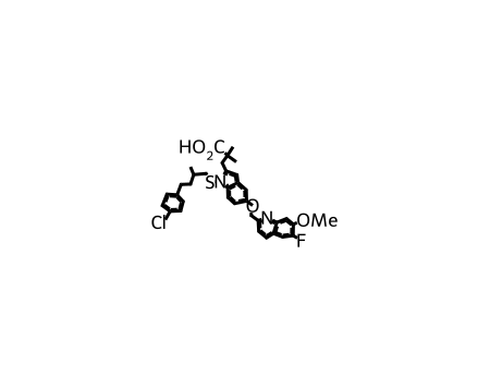 COc1cc2nc(COc3ccc4c(c3)cc(CC(C)(C)C(=O)O)n4SCC(C)CCc3ccc(Cl)cc3)ccc2cc1F